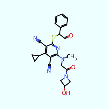 CN(CC(=O)N1CC(O)C1)c1nc(SC(C=O)c2ccccc2)c(C#N)c(C2CC2)c1C#N